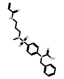 C=CC(=O)NCCCN(C)S(=O)(=O)c1ccc(N(Cc2ccccc2)C(=O)O)cc1